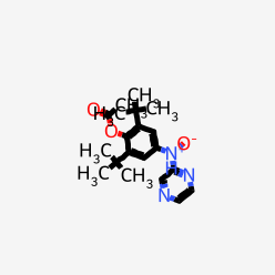 CC(=O)Oc1c(C(C)(C)C)cc([NH+]([O-])c2cnccn2)cc1C(C)(C)C